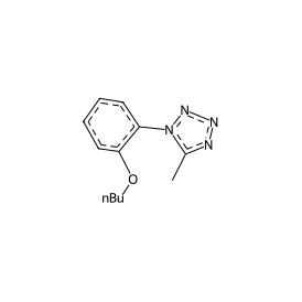 CCCCOc1ccccc1-n1nnnc1C